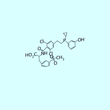 CS(=O)(=O)c1cccc(CC(NC(=O)c2c(Cl)cc(CCP(c3cccc(O)c3)C3CC3)cc2Cl)C(=O)O)c1